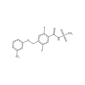 CS(=O)(=O)NC(=O)c1cc(F)c(COc2cccc(C(F)(F)F)c2)cc1F